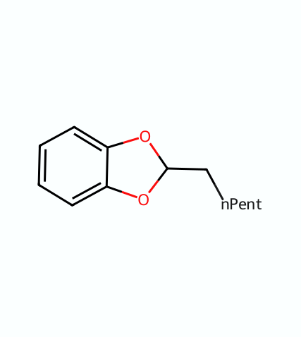 CCCCCCC1Oc2ccccc2O1